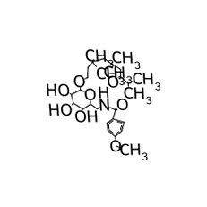 COc1ccc(C(=O)NCC2OC(OCCC(C)(C)CC(C)(C)CC(=O)C(C)C)C(O)C(O)C2O)cc1